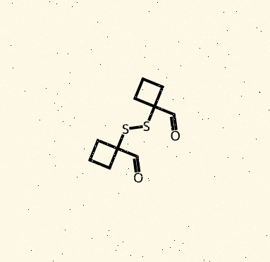 O=CC1(SSC2(C=O)CCC2)CCC1